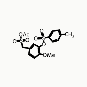 COc1ccc(CS(=O)(=O)OC(C)=O)cc1OS(=O)(=O)c1ccc(C)cc1